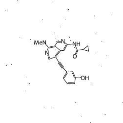 CNc1ncc(C#Cc2cccc(O)c2)c2cc(NC(=O)C3CC3)ncc12